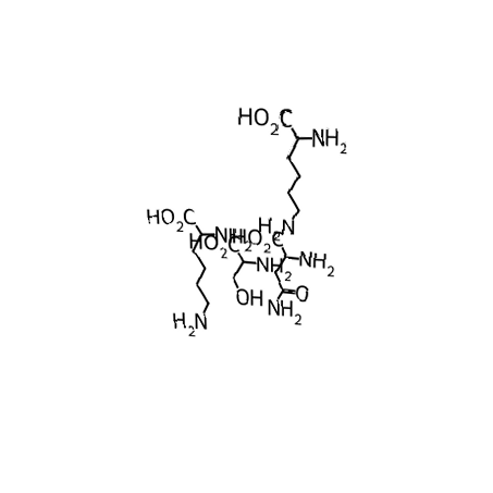 NC(=O)CC(N)C(=O)O.NC(CO)C(=O)O.NCCCCC(N)C(=O)O.NCCCCC(N)C(=O)O